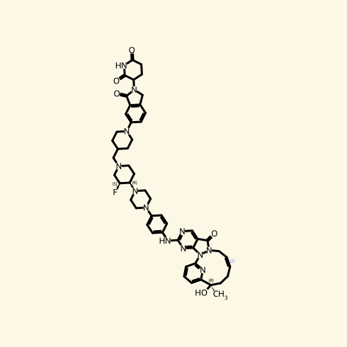 C[C@@]1(O)CC/C=C\Cn2c(=O)c3cnc(Nc4ccc(N5CCN([C@@H]6CCN(CC7CCN(c8ccc9c(c8)C(=O)N(C8CCC(=O)NC8=O)C9)CC7)C[C@@H]6F)CC5)cc4)nc3n2-c2cccc1n2